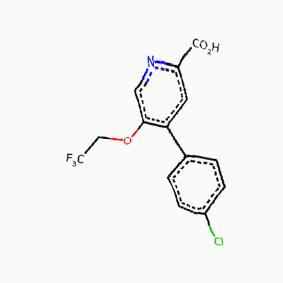 O=C(O)c1cc(-c2ccc(Cl)cc2)c(OCC(F)(F)F)cn1